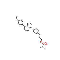 C=Cc1ccc(-c2cccc3c(-c4ccc(CCCOC(=O)C(=C)C)cc4)cccc23)cc1